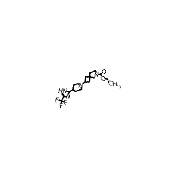 CCOC(=O)N1CCC2(CC(N3CCC(c4nc(C(F)(F)F)c[nH]4)CC3)C2)C1